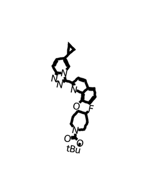 CC(C)(C)OC(=O)N1CCC(F)C(Oc2cccc3ccc(-c4nnc5ccc(C6CC6)cn45)nc23)CC1